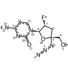 [N-]=[N+]=N[C@@]1(CO)C[C@H](F)[C@H](n2ccc(N)nc2=O)O1